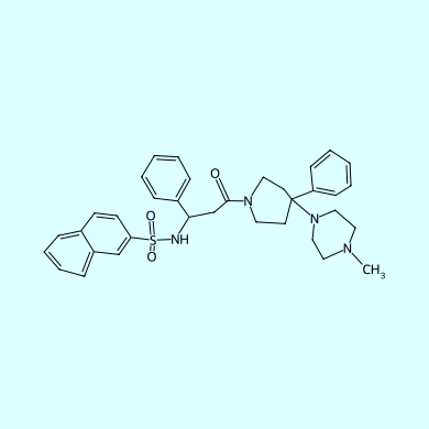 CN1CCN(C2(c3ccccc3)CCN(C(=O)CC(NS(=O)(=O)c3ccc4ccccc4c3)c3ccccc3)CC2)CC1